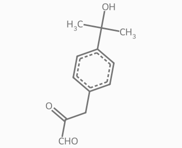 CC(C)(O)c1ccc(CC(=O)C=O)cc1